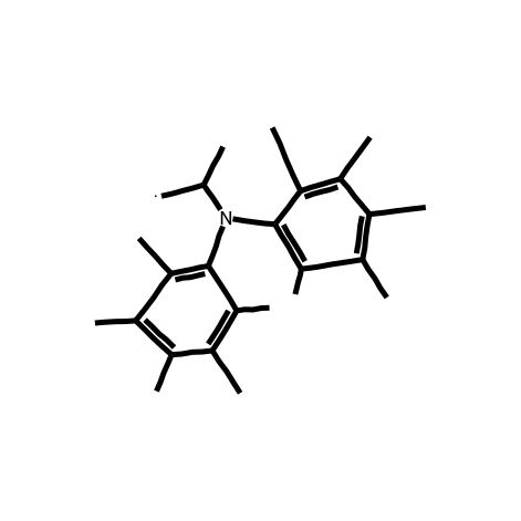 [CH2]C(C)N(c1c(C)c(C)c(C)c(C)c1C)c1c(C)c(C)c(C)c(C)c1C